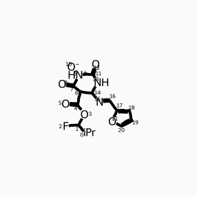 CC(C)C(F)OC(=O)C1C(=O)[NH+]([O-])C(=O)NC1N=Cc1ccco1